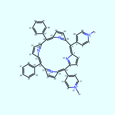 C[n+]1ccc(C2=C3C=CC(=N3)C(c3cc[n+](C)cc3)=C3C=CC(=N3)C(c3ccccc3)=C3C=CC(=N3)C(c3ccccc3)=C3C=CC2=N3)cc1